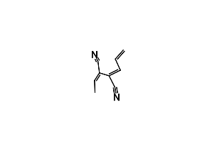 C=C/C=C(C#N)\C(C#N)=C/C